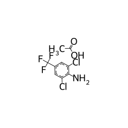 CC(=O)O.Nc1c(Cl)cc(C(F)(F)F)cc1Cl